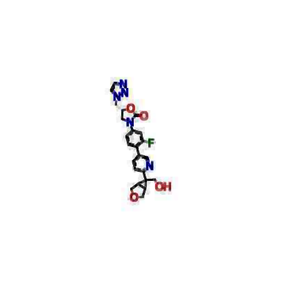 O=C1O[C@@H](Cn2ccnn2)CN1c1ccc(-c2ccc(C3(CO)C4COCC43)nc2)c(F)c1